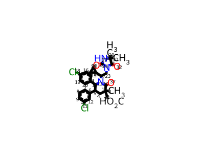 CC1(CC(=O)O)CC(c2cccc(Cl)c2)C(c2ccc(Cl)cc2)N(C(CN2C(=O)NC(C)(C)C2=O)C2CC2)C1=O